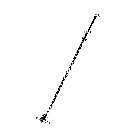 CCCCCCCCCCCCCCCC(=O)NCCCCCC(=O)NOCCOCCOCCOCCOCCOCCOCCOCCOCCOCCOCCOCCOCCOCCOCCOCCOCCOCCOCCOCCOCCOCCOCCOCCC(=O)N[C@H](C(=O)NC)[C@@H](C)CC